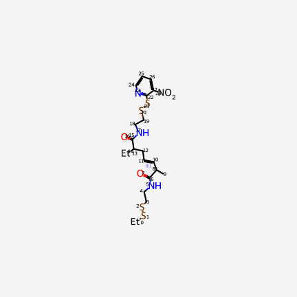 CCSSCCNC(=O)C(C)/C=C/CC(CC)C(=O)NCCSSc1ncccc1[N+](=O)[O-]